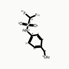 O=S(=O)(Nc1ccc(CO)cc1)C(F)F